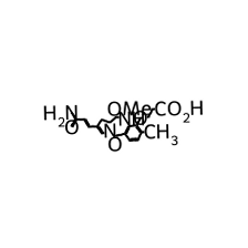 COC1Nc2c(ccc(C)c2OCCC(=O)O)C(=O)N2C=C(C=CC(N)=O)CC12